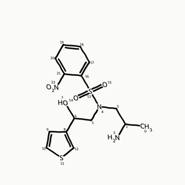 CC(N)CN(CC(O)c1ccsc1)S(=O)(=O)c1ccccc1[N+](=O)[O-]